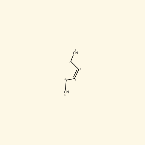 N#CC/C=C\CC#N